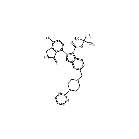 CC(C)(C)OC(=O)n1c(-c2ccc(Cl)c3c2C(=O)NC3)cc2cc(CN3CCN(c4ncccn4)CC3)ccc21